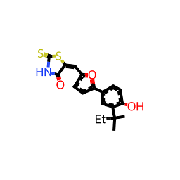 CCC(C)(C)c1cc(-c2ccc(/C=C3/SC(=S)NC3=O)o2)ccc1O